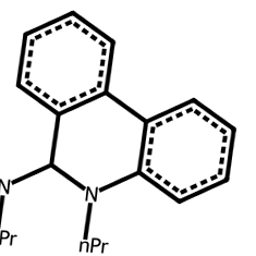 CCCN1c2ccccc2-c2ccccc2C1NC(C)C